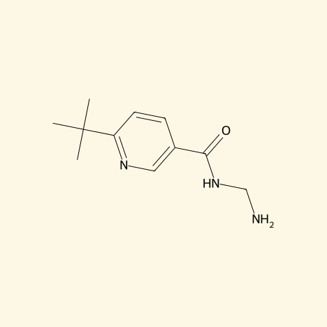 CC(C)(C)c1ccc(C(=O)NCN)cn1